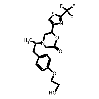 CC(Cc1ccc(OCCO)cc1)N1CC(=O)OC(c2csc(C(F)(F)F)n2)C1